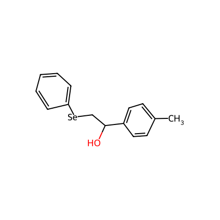 Cc1ccc(C(O)C[Se]c2ccccc2)cc1